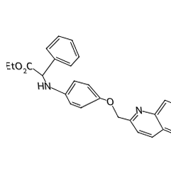 CCOC(=O)C(Nc1ccc(OCc2ccc3ccccc3n2)cc1)c1ccccc1